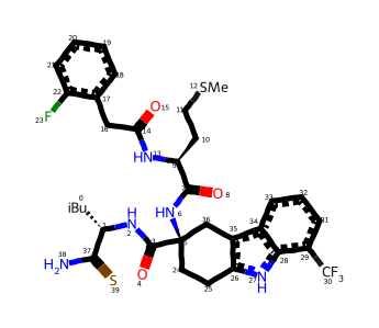 CCC(C)[C@H](NC(=O)[C@@]1(NC(=O)[C@H](CCSC)NC(=O)Cc2ccccc2F)CCc2[nH]c3c(C(F)(F)F)cccc3c2C1)C(N)=S